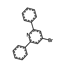 Brc1cc(-c2ccccc2)nc(-c2ccccc2)c1